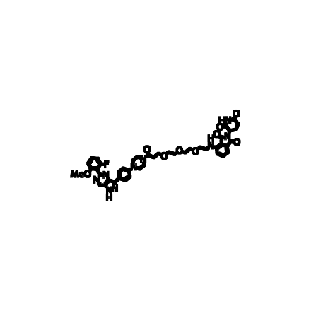 COc1cccc(F)c1-c1ncc2[nH]nc(-c3ccc(N4CCN(C(=O)CCOCCOCCOCCNc5cccc6c5C(=O)N(C5CCC(=O)NC5=O)C6=O)CC4)cc3)c2n1